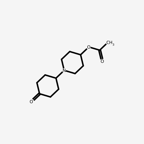 CC(=O)OC1CCN(C2CCC(=O)CC2)CC1